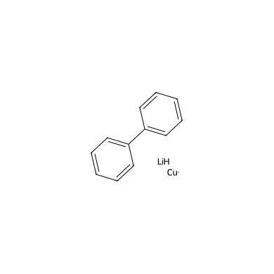 [Cu].[LiH].c1ccc(-c2ccccc2)cc1